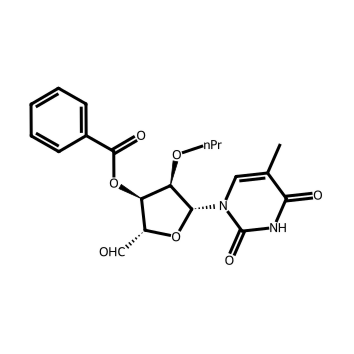 CCCO[C@@H]1[C@H](OC(=O)c2ccccc2)[C@@H](C=O)O[C@H]1n1cc(C)c(=O)[nH]c1=O